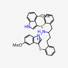 COc1ccc2[nH]cc(Sc3ccccc3CCC(N)Cc3ccccc3Sc3c[nH]c4cccc(OC)c34)c2c1